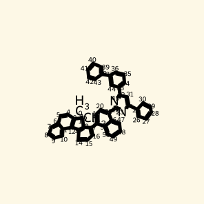 CC1(C)c2ccc3ccccc3c2-c2cccc(-c3ccc(-c4nc(-c5ccccc5)cc(-c5cccc(-c6ccccc6)c5)n4)c4ccccc34)c21